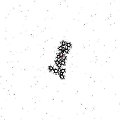 c1ccc(-c2cccc(N(c3ccc4c5c(ccc4c3)-c3ccc4cc(N(c6cccc(-c7ccccc7)c6)c6cccc7c6oc6ccccc67)ccc4c3C5(C3CCCCC3)C3CCCCC3)c3cccc4c3oc3ccccc34)c2)cc1